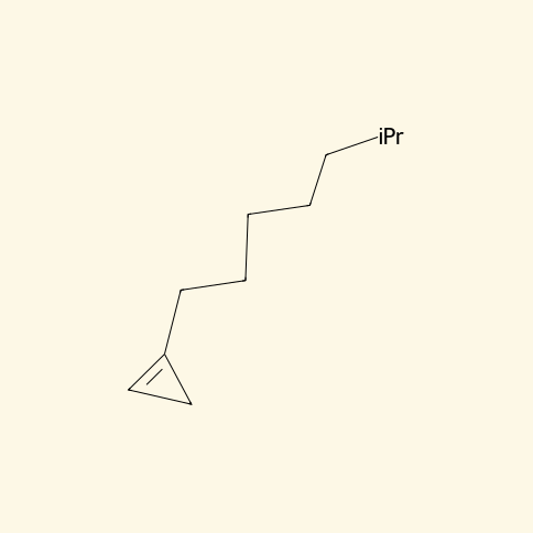 CC(C)CCCCCC1=CC1